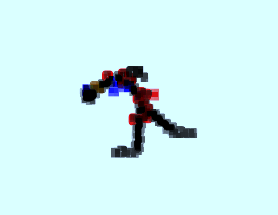 C=COC(CNC(=O)CCSSc1ccccn1)OC(=O)NCCOP(=O)(O)OC[C@@H](COC(=O)CCCCCCCCCCCCCCCCC)OC(=O)CCCCCCCCCCCCCCCCC